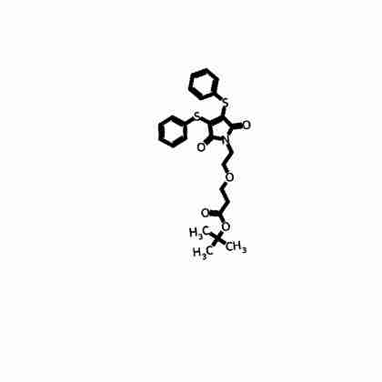 CC(C)(C)OC(=O)CCOCCN1C(=O)C(Sc2ccccc2)=C(Sc2ccccc2)C1=O